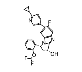 O[C@@H]1C[C@H](c2ccccc2OC(F)F)n2c1nc1cc(F)c(-c3ccc(C4CC4)nc3)cc12